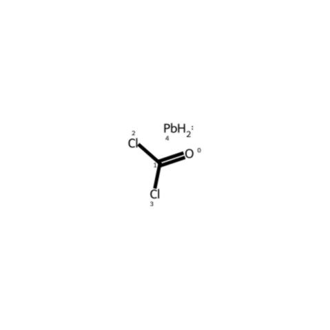 O=C(Cl)Cl.[PbH2]